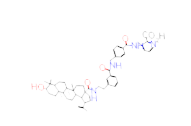 C=C(C)[C@@H]1CC[C@]2(C(=O)NCCc3cccc(C(=O)NCc4ccc(C(=O)NCc5cccnc5C(=O)O)cc4)c3)CC[C@]3(C)C(CCC4[C@@]5(C)CC[C@H](O)C(C)(C)C5CC[C@]43C)C12